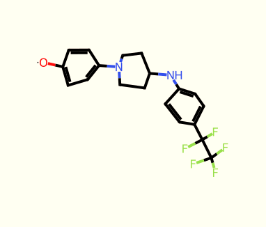 [O]c1ccc(N2CCC(Nc3ccc(C(F)(F)C(F)(F)F)cc3)CC2)cc1